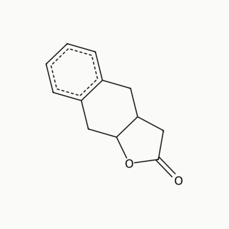 O=C1CC2Cc3ccccc3CC2O1